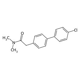 CN(C)C(=O)Cc1ccc(-c2ccc(Cl)cc2)cc1